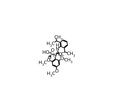 COc1cc(OC)c(N(C(=O)Nc2c(C(C)C)cccc2C(C)C)S(=O)(=O)O)c(OC)c1